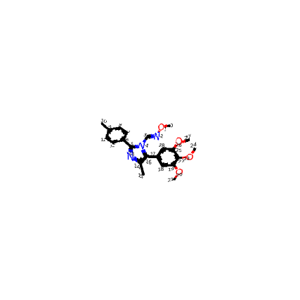 CON=Cn1c(-c2ccc(C)cc2)nc(C)c1-c1cc(OC)c(OC)c(OC)c1